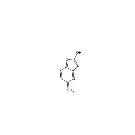 C=c1ccc2c(n1)N=C(O)N=2